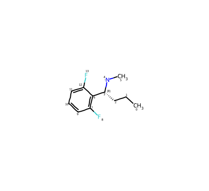 CCC[C@@H]([N]C)c1c(F)cccc1F